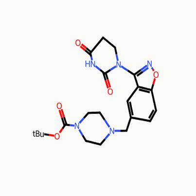 CC(C)(C)OC(=O)N1CCN(Cc2ccc3onc(N4CCC(=O)NC4=O)c3c2)CC1